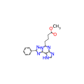 COC(=O)CCCc1nc2nc[nH]c2c2nc(-c3ccccc3)nn12